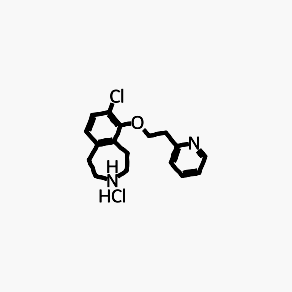 Cl.Clc1ccc2c(c1OCCc1ccccn1)CCNCC2